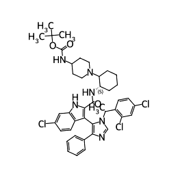 CC(c1ccc(Cl)cc1Cl)n1cnc(-c2ccccc2)c1-c1c(C(=O)N[C@H]2CCCCC2N2CCC(NC(=O)OC(C)(C)C)CC2)[nH]c2cc(Cl)ccc12